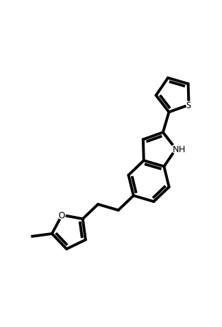 Cc1ccc(CCc2ccc3[nH]c(-c4cccs4)cc3c2)o1